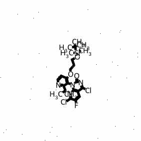 CC(C)c1nccc(OCCCO[Si](C)(C)C(C)(C)C)c1-n1c(=O)nc(Cl)c2cc(F)c(Cl)nc21